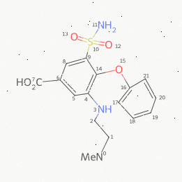 CNCCNc1cc(C(=O)O)cc(S(N)(=O)=O)c1Oc1ccccc1